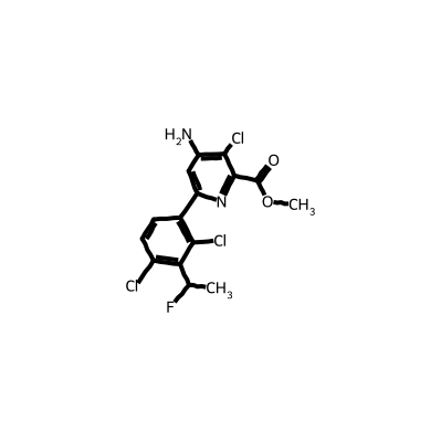 COC(=O)c1nc(-c2ccc(Cl)c(C(C)F)c2Cl)cc(N)c1Cl